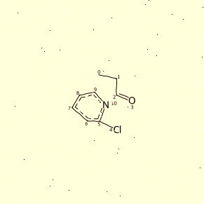 CCC=O.Clc1ccccn1